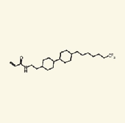 C=CC(=O)NCCC1CCC(C2CCC(CCCCCCC(F)(F)F)CC2)CC1